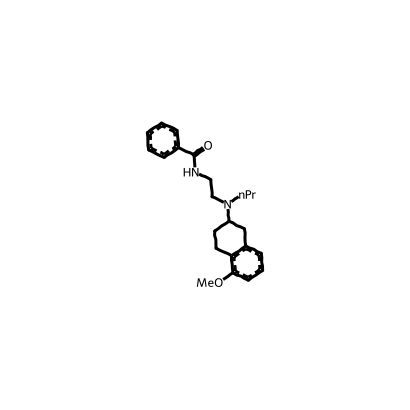 CCCN(CCNC(=O)c1ccccc1)C1CCc2c(cccc2OC)C1